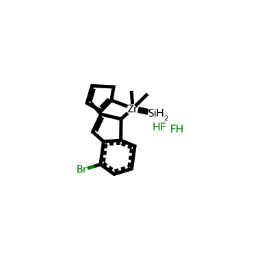 CC1=Cc2c(Br)cccc2[CH]1[Zr]([CH3])([CH3])(=[SiH2])[C]1=CC=CC1.F.F